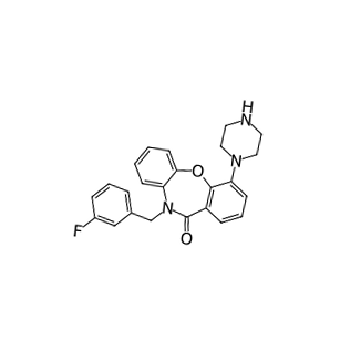 O=C1c2cccc(N3CCNCC3)c2Oc2ccccc2N1Cc1cccc(F)c1